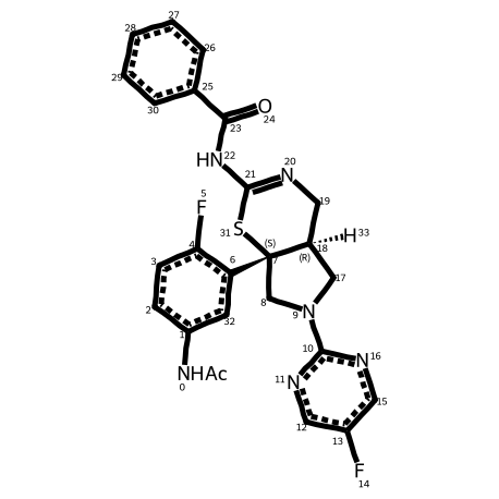 CC(=O)Nc1ccc(F)c([C@]23CN(c4ncc(F)cn4)C[C@@H]2CN=C(NC(=O)c2ccccc2)S3)c1